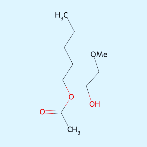 CCCCCOC(C)=O.COCCO